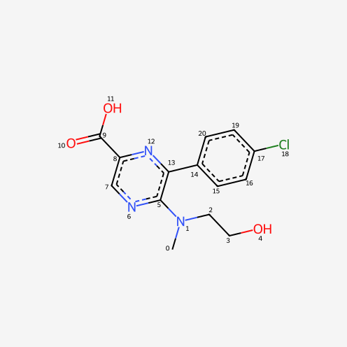 CN(CCO)c1ncc(C(=O)O)nc1-c1ccc(Cl)cc1